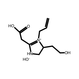 C=CC[N+]1=C(CC(=O)O)NCC1CCO.[OH-]